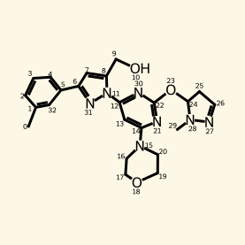 Cc1cccc(-c2cc(CO)n(-c3cc(N4CCOCC4)nc(OC4CC=NN4C)n3)n2)c1